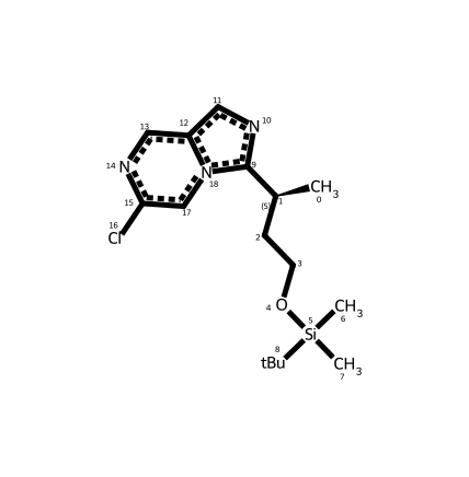 C[C@@H](CCO[Si](C)(C)C(C)(C)C)c1ncc2cnc(Cl)cn12